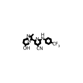 Cc1nc2ccc(O)cn2c1-c1cc(C#N)cc(Nc2ccc(C(F)(F)F)cc2)n1